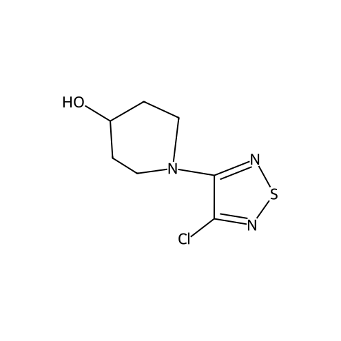 OC1CCN(c2nsnc2Cl)CC1